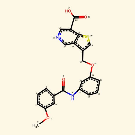 COc1cccc(C(=O)Nc2cccc(OCc3csc4c(C(=O)O)cncc34)c2)c1